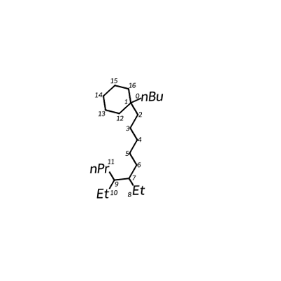 CCCCC1(CCCCCC(CC)C(CC)CCC)CCCCC1